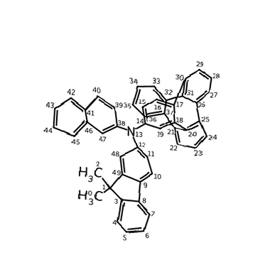 CC1(C)c2ccccc2-c2ccc(N(c3ccc4c(c3)-c3c5cccc3-c3cccc-4c3-c3ccccc3-5)c3ccc4ccccc4c3)cc21